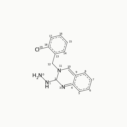 NNC1N=c2ccccc2=CN1Cc1ccccc1Cl